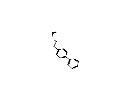 CC(=O)OCCc1ccc(-c2ccccc2)cc1